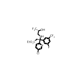 CCOC(=O)C[C@@](NC[C@@H](O)C(F)(F)F)(c1cc(F)cc(C(F)(F)F)c1)c1ccc(Cl)cn1